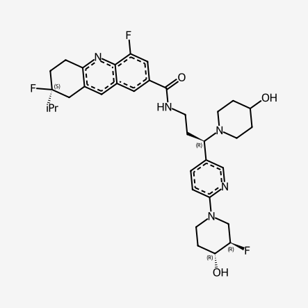 CC(C)[C@]1(F)CCc2nc3c(F)cc(C(=O)NCC[C@H](c4ccc(N5CC[C@@H](O)[C@H](F)C5)nc4)N4CCC(O)CC4)cc3cc2C1